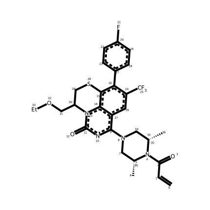 C=CC(=O)N1[C@H](C)CN(c2nc(=O)n3c4c(c(-c5ccc(F)cc5)c(C(F)(F)F)cc24)SCC3COCC)C[C@@H]1C